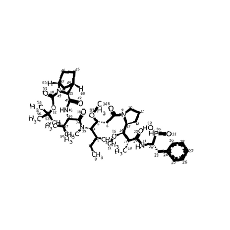 CC[C@H](C)[C@@H]([C@@H](CC(=O)N1CCC[C@H]1[C@H](OC)[C@@H](C)C(=O)N[C@@H](Cc1ccccc1)[PH](=O)O)OC)N(C)C(=O)[C@@H](NC(=O)[C@@H]1[C@H]2CC[C@H](C2)N1C(=O)OC(C)(C)C)C(C)C